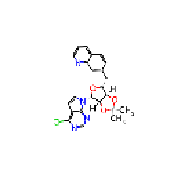 CC1(C)O[C@@H]2[C@H](O1)[C@@H](Cc1ccc3cccnc3c1)O[C@H]2n1ccc2c(Cl)ncnc21